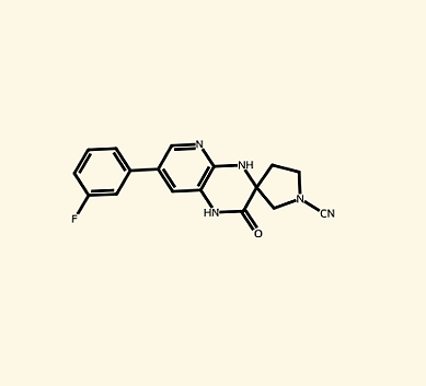 N#CN1CCC2(C1)Nc1ncc(-c3cccc(F)c3)cc1NC2=O